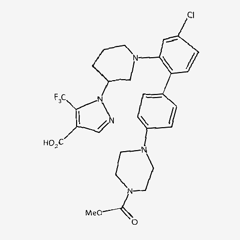 COC(=O)N1CCN(c2ccc(-c3ccc(Cl)cc3N3CCCC(n4ncc(C(=O)O)c4C(F)(F)F)C3)cc2)CC1